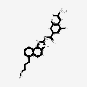 CCOCCCc1cccc2c1ccc1sc(NC(=O)C3C=C(F)C(C=C(C)C(=O)O)=C(F)C3)nc12